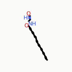 CC#CC#CC#CC#CC#CC#CC#CC#CC(=O)NCCNC=O